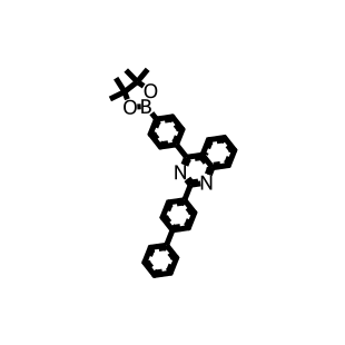 CC1(C)OB(c2ccc(-c3nc(-c4ccc(-c5ccccc5)cc4)nc4ccccc34)cc2)OC1(C)C